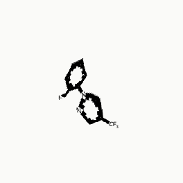 Fc1ccccc1-n1cc(C(F)(F)F)cn1